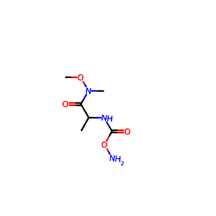 CON(C)C(=O)C(C)NC(=O)ON